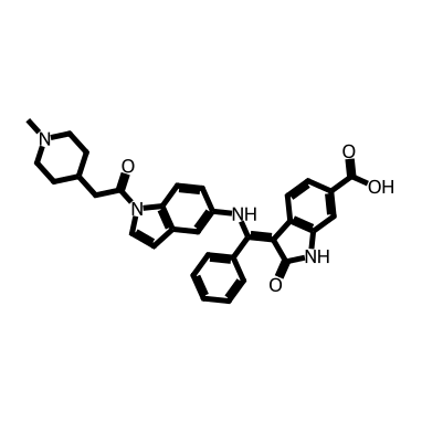 CN1CCC(CC(=O)n2ccc3cc(N/C(=C4/C(=O)Nc5cc(C(=O)O)ccc54)c4ccccc4)ccc32)CC1